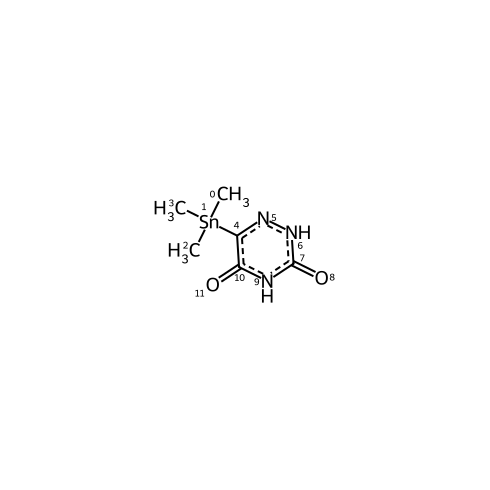 [CH3][Sn]([CH3])([CH3])[c]1n[nH]c(=O)[nH]c1=O